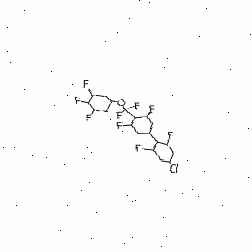 FC1CC(OC(F)(F)C2C(F)CC(C3C(F)CC(Cl)CC3F)CC2F)CC(F)C1F